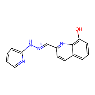 Oc1cccc2ccc(/C=N/Nc3ccccn3)nc12